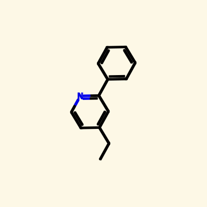 CCc1ccnc(-c2ccccc2)c1